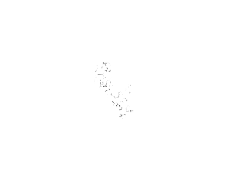 CC1(COc2c(N3CCN(S(=O)(=O)NCc4cccc5nonc45)CC3)cnn(-c3cc(F)cc(F)c3)c2=O)CC1